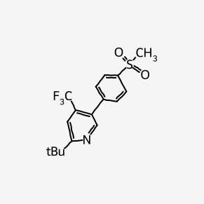 CC(C)(C)c1cc(C(F)(F)F)c(-c2ccc(S(C)(=O)=O)cc2)cn1